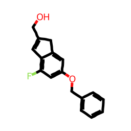 OCC1=Cc2c(F)cc(OCc3ccccc3)cc2C1